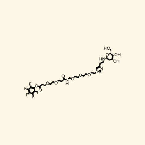 O=C(CCOCCOCCC(=O)Oc1c(F)c(F)c(F)c(F)c1F)NCOCCOCCOCCn1cc(CCN[C@H]2C[C@@H](O)[C@@H](O)[C@@H](CO)O2)nn1